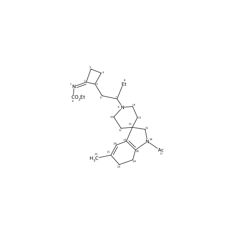 CCOC(=O)/N=C1/CCC1CC(CC)N1CCC2(CC1)CN(C(C)=O)C1=C2C=C(C)CC1